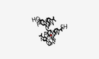 CC(C)c1ccc(N2CCC[C@H](C(C)N(C)CN(C)Cc3nc(C(C)S)ccc3N3CC(CN(C)Cc4nc(C(C)C)ccc4N4CC[C@H](F)[C@@H](O)C4)[C@@H](F)[C@@H](O)C3)C2)cn1